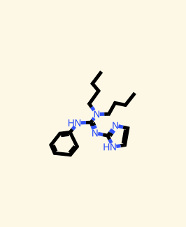 CCCCN(CCCC)C(=Nc1ncc[nH]1)Nc1ccccc1